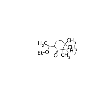 C=C(OCC)C1CCC(C)(C)C(C)(C)C1=O